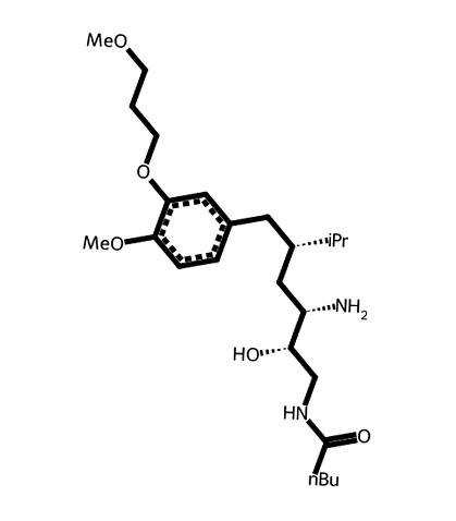 CCCCC(=O)NC[C@H](O)[C@@H](N)C[C@H](Cc1ccc(OC)c(OCCCOC)c1)C(C)C